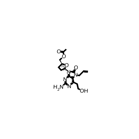 C=CCn1c(=O)n([C@H]2CC[C@@H](COC(C)=O)O2)c2nc(N)nc(CCO)c21